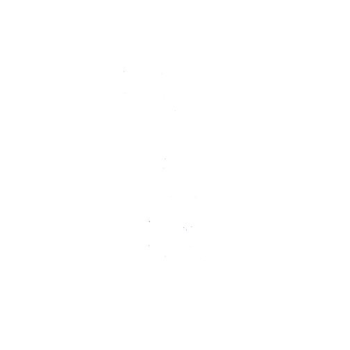 Cc1c(OCc2[c]cccc2)cccc1OCc1ccc2ccccc2n1